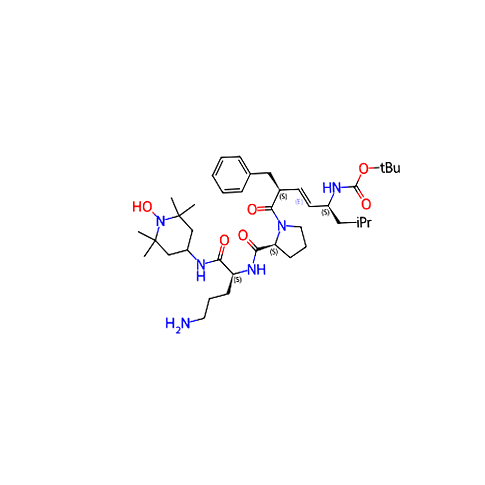 CC(C)C[C@@H](/C=C/[C@H](Cc1ccccc1)C(=O)N1CCC[C@H]1C(=O)N[C@@H](CCCN)C(=O)NC1CC(C)(C)N(O)C(C)(C)C1)NC(=O)OC(C)(C)C